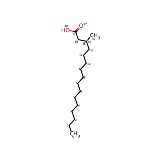 CCCCCCCCCCCCC[C@H](C)CC(=O)O